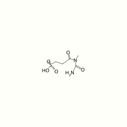 CN(C(N)=O)C(=O)CCS(=O)(=O)O